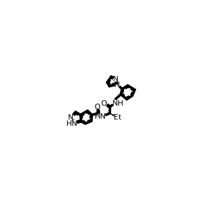 CC[C@@H](NC(=O)c1ccc2[nH]ncc2c1)C(=O)NCc1ccccc1-n1cccn1